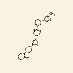 Cn1cc(-c2cccc(-c3ncc(-c4cnn(C5CCC(N6CCOCC6=O)CC5)c4)cn3)c2)cn1